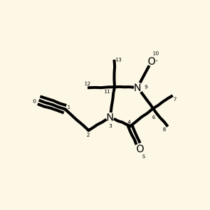 C#CCN1C(=O)C(C)(C)N([O])C1(C)C